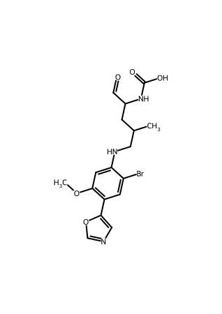 COc1cc(NCC(C)CC(C=O)NC(=O)O)c(Br)cc1-c1cnco1